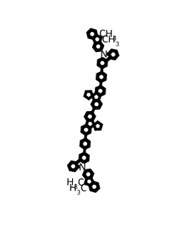 CC1(C)c2ccccc2-c2ccc(-n3c4ccccc4c4cc(-c5ccc(-c6ccc7c(c6)C6(CCCC6)c6cc(-c8ccc9c(c8)C8(CCCC8)c8cc(-c%10ccc(-c%11ccc%12c(c%11)c%11ccccc%11n%12-c%11ccc%12c(c%11)C(C)(C)c%11ccccc%11-%12)cc%10)ccc8-9)ccc6-7)cc5)ccc43)cc21